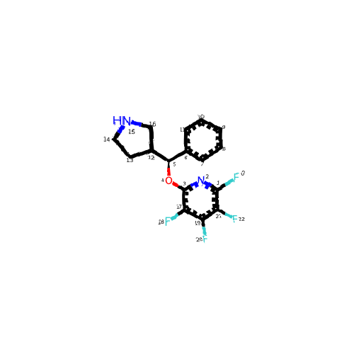 Fc1nc(O[C@H](c2ccccc2)C2CCNC2)c(F)c(F)c1F